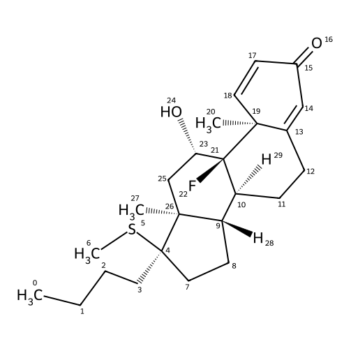 CCCC[C@@]1(SC)CC[C@H]2[C@@H]3CCC4=CC(=O)C=C[C@]4(C)[C@@]3(F)[C@@H](O)C[C@@]21C